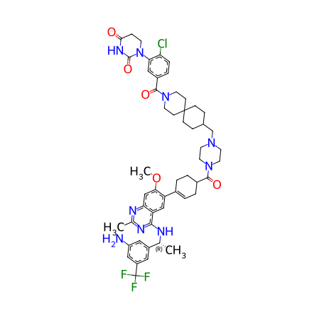 COc1cc2nc(C)nc(N[C@H](C)c3cc(N)cc(C(F)(F)F)c3)c2cc1C1=CCC(C(=O)N2CCN(CC3CCC4(CC3)CCN(C(=O)c3ccc(Cl)c(N5CCC(=O)NC5=O)c3)CC4)CC2)CC1